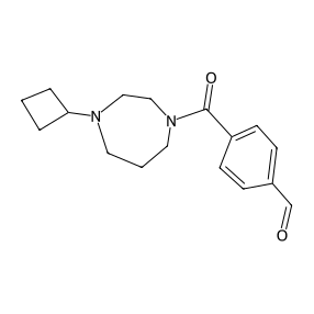 O=Cc1ccc(C(=O)N2CCCN(C3CCC3)CC2)cc1